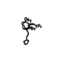 C/C=C(\NC(=O)CCC1CCCC1)C(=O)O